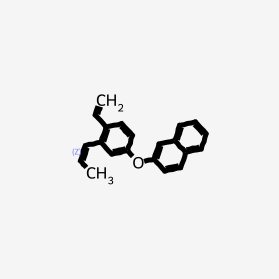 C=Cc1ccc(Oc2ccc3ccccc3c2)cc1/C=C\C